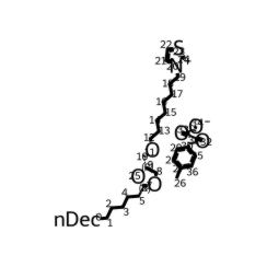 CCCCCCCCCCCCCCC[C@@H]1OC[C@@H](COCCCCCCCC[n+]2ccsc2)O1.Cc1ccc(S(=O)(=O)[O-])cc1